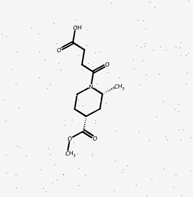 COC(=O)[C@@H]1CCN(C(=O)CCC(=O)O)[C@H](C)C1